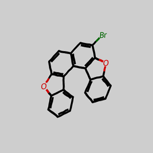 Brc1cc2ccc3oc4ccccc4c3c2c2c1oc1ccccc12